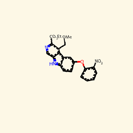 CCOC(=O)c1ncc2[nH]c3ccc(Oc4ccccc4[N+](=O)[O-])cc3c2c1COC